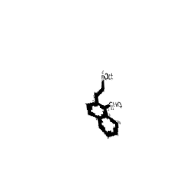 CCCCCCCCCCc1ccc2ccccc2c1C=O